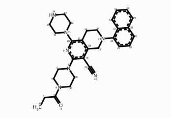 CCC(=O)N1CCN(c2nc(N3CCNCC3)c3c(c2C#N)CN(c2cccc4ccccc24)CC3)CC1